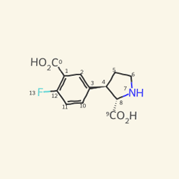 O=C(O)c1cc([C@H]2CCN[C@@H]2C(=O)O)ccc1F